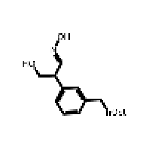 CCCCCCCCCc1cccc(C(C=NO)CO)c1